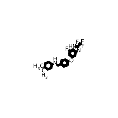 CC1(C)CCC(NCc2ccc(Oc3cc(F)c4[nH]c(C(F)(F)F)nc4c3)cc2)CC1